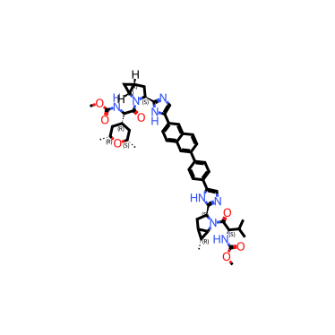 COC(=O)NC(C(=O)N1[C@@H]2C[C@@H]2C[C@H]1c1ncc(-c2ccc3cc(-c4ccc(-c5cnc([C@@H]6CC7C([C@@H]7C)N6C(=O)[C@@H](NC(=O)OC)C(C)C)[nH]5)cc4)ccc3c2)[nH]1)[C@H]1C[C@@H](C)O[C@@H](C)C1